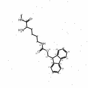 CNC(=O)C(N)CCCCNC(=O)OCC1c2ccccc2-c2ccccc21